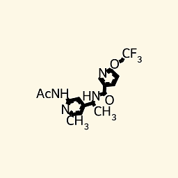 CC(=O)Nc1cc(C(C)NC(=O)c2ccc(OCC(F)(F)F)nc2)cc(C)n1